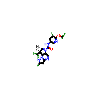 C[C@]1(C(F)F)CN(C(=O)Nc2cnc(OC(F)F)c(Cl)c2)c2cnc3cc(Cl)nn3c21